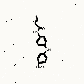 C/C=C/C(=O)Nc1ccc(Nc2ccc(OC)cc2)cc1